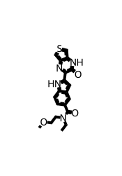 CCN(CCOC)C(=O)c1ccc2[nH]c(-c3nc4cscc4[nH]c3=O)cc2c1